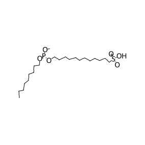 CCCCCCCCCOP(OC)OCCCCCCCCCCCCS(=O)(=O)O